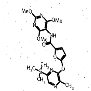 COc1nc(OC)c(NC(=O)c2ccc(Oc3nc([Si](C)(C)C)cnc3C)o2)c(OC)n1